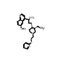 CNC(CC[C@@H]1CCN(CCSc2ccccn2)C[C@@H]1CC(=O)O)c1ccnc2ccc(OC)cc12